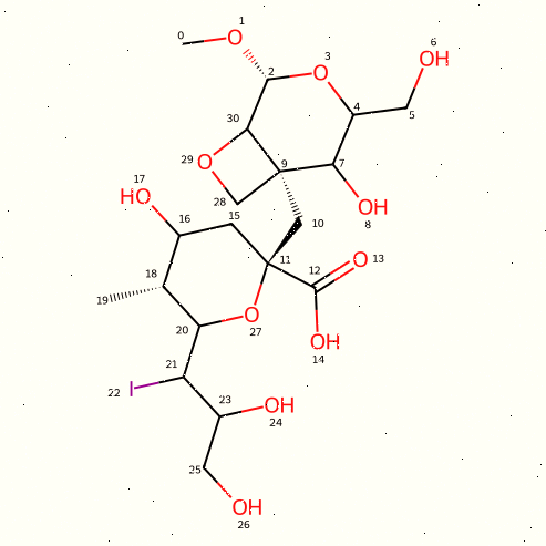 CO[C@@H]1OC(CO)C(O)[C@@]2(C[C@]3(C(=O)O)CC(O)[C@@H](C)C(C(I)C(O)CO)O3)COC12